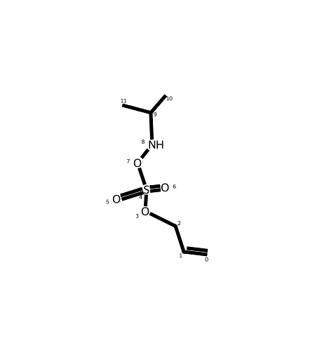 C=CCOS(=O)(=O)ONC(C)C